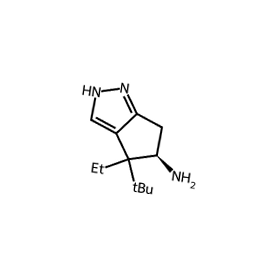 CCC1(C(C)(C)C)c2c[nH]nc2C[C@H]1N